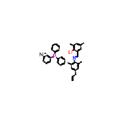 C=CCc1cc(C)c(N=Cc2cc(C)cc(C)c2[O-])c(C)c1.[Ni+].c1ccc(P(c2ccccc2)c2ccccc2)cc1